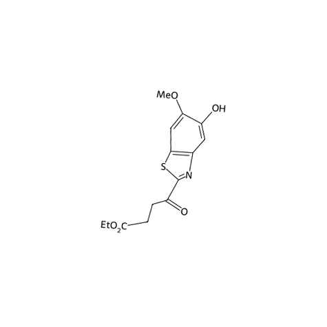 CCOC(=O)CCC(=O)c1nc2cc(O)c(OC)cc2s1